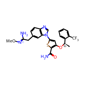 CO/N=C(\N)Cc1ccc2ncn(-c3cc(O[C@H](C)c4ccccc4C(F)(F)F)c(C(N)=O)s3)c2c1